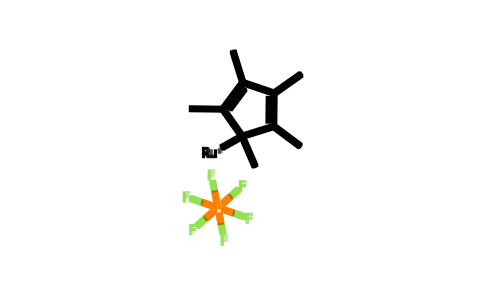 CC1=C(C)[C](C)([Ru+])C(C)=C1C.F[P-](F)(F)(F)(F)F